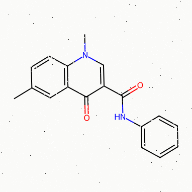 Cc1ccc2c(c1)c(=O)c(C(=O)Nc1ccccc1)cn2C